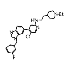 CCN1CCC(CCNc2cc(-c3ccc4ncn(Cc5cccc(F)c5)c4c3)c(Cl)cn2)CC1